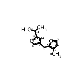 Cc1ccoc1Cc1coc(C(C)C)c1